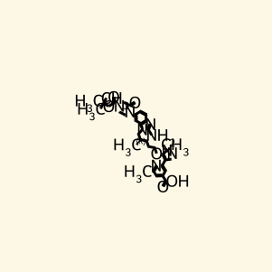 Cc1cc(C(=O)O)cc(-c2cnn(C)c2OCCC[C@@H](C)Cn2c(N)nc3ccc(N4CCN(C(=O)OC(C)(C)C)CC4=O)cc32)n1